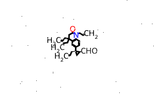 C=CCN1C(=O)CC(CC=C)(CC=C)c2cc([C@@]3(CC=C)C[C@@H]3C=O)ccc21